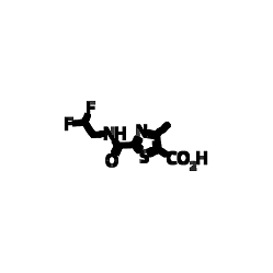 Cc1nc(C(=O)NCC(F)F)sc1C(=O)O